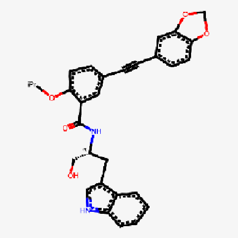 CC(C)Oc1ccc(C#Cc2ccc3c(c2)OCO3)cc1C(=O)N[C@@H](CO)Cc1c[nH]c2ccccc12